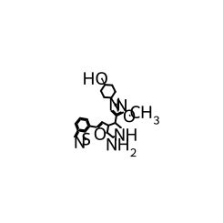 COc1nn([C@H]2CC[C@H](O)CC2)cc1C1CNC(N)C2OC(c3cccc4cnsc34)=CC12